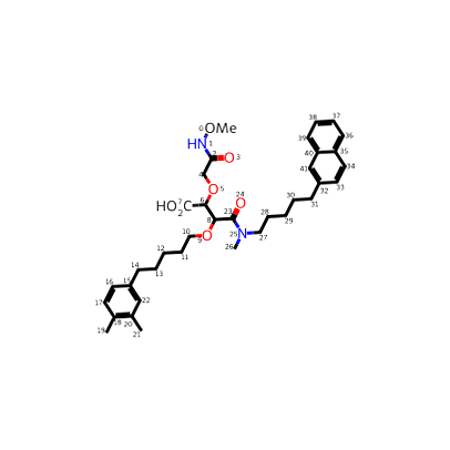 CONC(=O)COC(C(=O)O)C(OCCCCCc1ccc(C)c(C)c1)C(=O)N(C)CCCCCc1ccc2ccccc2c1